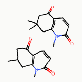 CC1CC(=O)c2ccc(=O)n(C)c2C1.Cn1c2c(ccc1=O)C(=O)CC(C)(C)C2